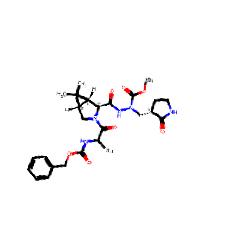 CC(C)(C)OC(=O)N(C[C@@H]1CCNC1=O)NC(=O)[C@@H]1[C@@H]2[C@H](CN1C(=O)C(NC(=O)OCc1ccccc1)C(C)(C)C)C2(C)C